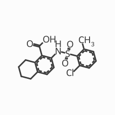 Cc1cccc(Cl)c1S(=O)(=O)Nc1ccc2c(c1C(=O)O)CCCC2